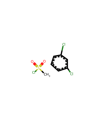 CS(=O)(=O)Cl.Clc1cccc(Cl)c1